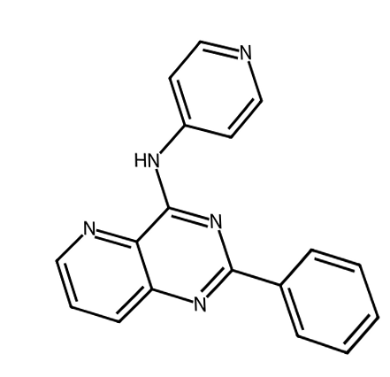 c1ccc(-c2nc(Nc3ccncc3)c3ncccc3n2)cc1